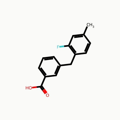 Cc1ccc(Cc2cccc(C(=O)O)c2)c(F)c1